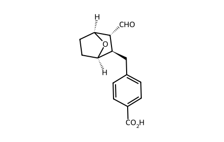 O=C[C@@H]1[C@@H](Cc2ccc(C(=O)O)cc2)[C@H]2CC[C@@H]1O2